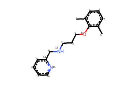 Cc1cccc(C)c1OCCCNCc1ccccn1